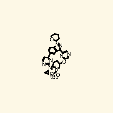 CC(C)(C)OC(=O)N1CCCC(Oc2cncc(-c3nn(C4CCCCO4)c4ccc(-c5ccnc(NC6CC6)n5)cc34)n2)C1